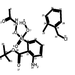 CC(=O)NO[As](=O)(OO)c1cccc(N)c1C(=O)OC(C)(C)C.Cc1ccccc1CCl